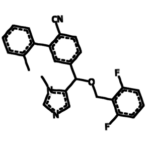 Cc1ccccc1-c1cc(C(OCc2c(F)cccc2F)c2cncn2C)ccc1C#N